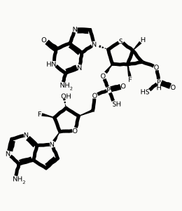 Nc1nc2c(ncn2[C@@H]2S[C@@H]3C(O[PH](=O)S)[C@]3(F)[C@H]2OP(=O)(S)OC[C@H]2O[C@@H](n3ccc4c(N)ncnc43)[C@@H](F)[C@@H]2O)c(=O)[nH]1